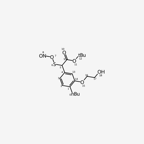 CCCCc1ccc(C(SON=O)C(=O)OC(C)(C)C)cc1OCCO